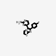 Nc1nccc(-c2c(-c3ccc(F)cc3)nc3sccn23)n1